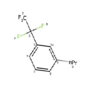 [CH2]CCc1cccc(C(F)(F)C(F)(F)F)c1